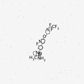 CC1(C(N)=O)CCCN1C(=O)c1ccc(-c2ccc(OCC3CCN(CC(F)(F)C(F)(F)F)CC3)cn2)c(F)c1